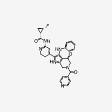 O=C1CN(C(=O)c2ccncc2)Cc2[nH]c(C3=CC(NC(=O)[C@@H]4C[C@@H]4F)=NCC3)c(NC3=C=C=CC=C3)c21